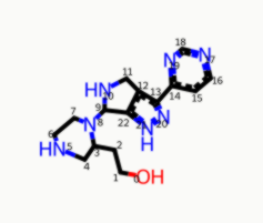 OCCC1CNCCN1C1NCc2c(-c3ccncn3)n[nH]c21